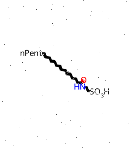 CCCCCC=CCC=CCC=CCC=CCCCC(=O)NCCS(=O)(=O)O